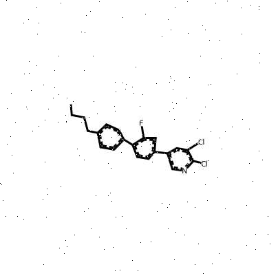 CCCCc1ccc(-c2ccc(-c3cnc(Cl)c(Cl)c3)cc2F)cc1